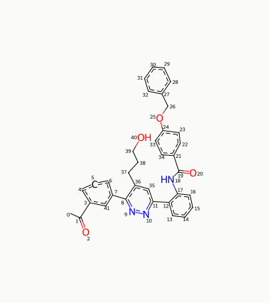 CC(=O)c1cccc(-c2nnc(-c3ccccc3NC(=O)c3ccc(OCc4ccccc4)cc3)cc2CCCO)c1